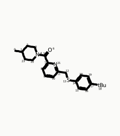 CC1CCN(C(=O)c2cccc(CSc3ccc(C(C)(C)C)cc3)n2)CC1